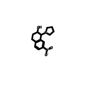 O=[N+]([O-])c1ccc2c(c1)C(N1CCCC1)C(O)CC2